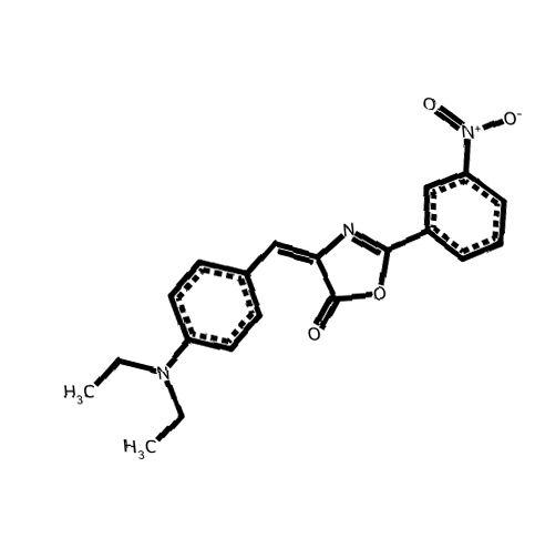 CCN(CC)c1ccc(C=C2N=C(c3cccc([N+](=O)[O-])c3)OC2=O)cc1